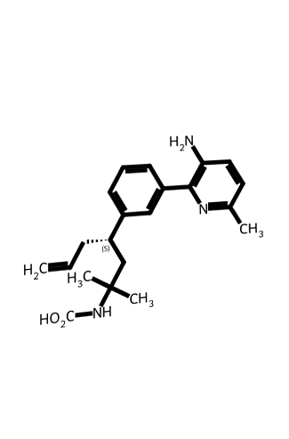 C=CC[C@@H](CC(C)(C)NC(=O)O)c1cccc(-c2nc(C)ccc2N)c1